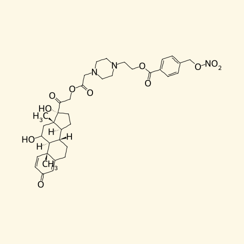 C[C@]12C=CC(=O)C=C1CC[C@@H]1[C@@H]2C(O)C[C@@]2(C)[C@H]1CC[C@]2(O)C(=O)COC(=O)CN1CCN(CCOC(=O)c2ccc(CO[N+](=O)[O-])cc2)CC1